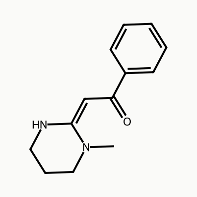 CN1CCCNC1=CC(=O)c1ccccc1